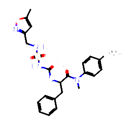 COc1ccc(N(C)C(=O)C(Cc2ccccc2)NC(=O)NS(=O)(=O)NCc2cc(C)on2)cc1